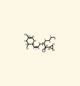 CCCCN(C/C=C\C1CC=C(C)CC1C)C(=O)C1CC1